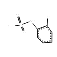 Bc1ccccc1NS(C)(=O)=O